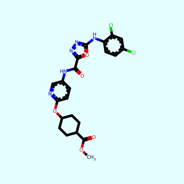 COC(=O)C1CCC(Oc2ccc(NC(=O)c3nnc(Nc4ccc(Cl)cc4Cl)o3)cn2)CC1